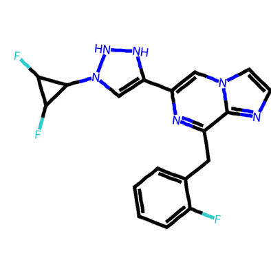 Fc1ccccc1Cc1nc(C2=CN(C3C(F)C3F)NN2)cn2ccnc12